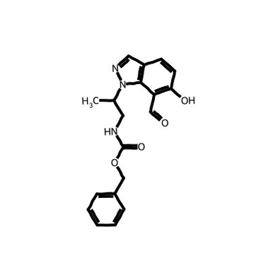 CC(CNC(=O)OCc1ccccc1)n1ncc2ccc(O)c(C=O)c21